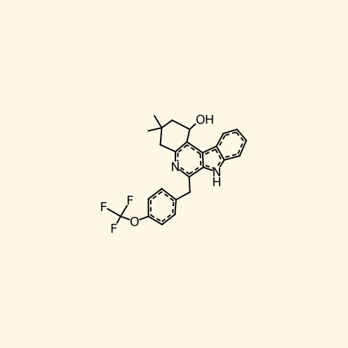 CC1(C)Cc2nc(Cc3ccc(OC(F)(F)F)cc3)c3[nH]c4ccccc4c3c2C(O)C1